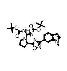 Cn1ccc2ccc(-c3noc(C4CCCN4C(=NC(=O)OC(C)(C)C)NC(=O)OC(C)(C)C)n3)cc21